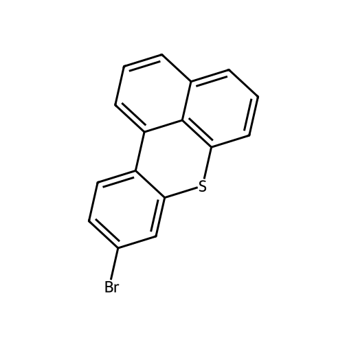 Brc1ccc2c(c1)Sc1cccc3cccc-2c13